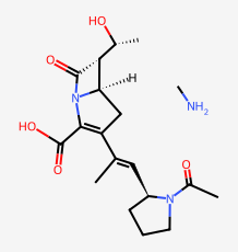 CC(=O)N1CCC[C@H]1C=C(C)C1=C(C(=O)O)N2C(=O)[C@H]([C@@H](C)O)[C@H]2C1.CN